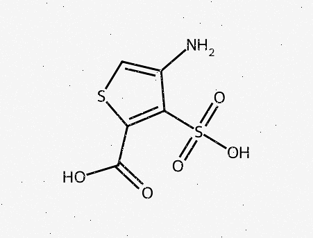 Nc1csc(C(=O)O)c1S(=O)(=O)O